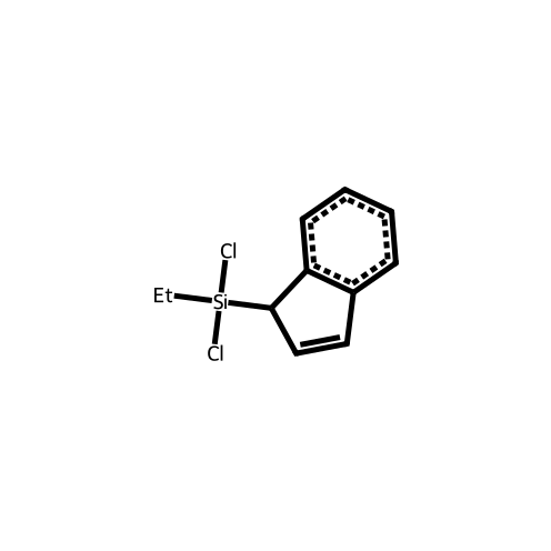 CC[Si](Cl)(Cl)C1C=Cc2ccccc21